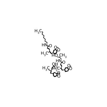 CC(C=CC(=O)NCC(C)CO)=Cc1ccc2c(c1)OCO2.CCC(C=CC(=O)O)=Cc1ccc2c(c1)OCO2.CCCCCCCCNC(=O)C=CC(C)=Cc1ccc2c(c1)OCO2